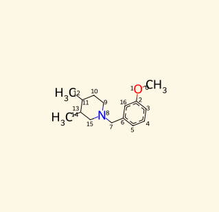 COc1cccc(CN2CCC(C)C(C)C2)c1